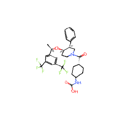 C[C@@H](O[C@@H]1CCN(C(=O)[C@H]2CC[C@H](NC(=O)O)CC2)C[C@@H]1c1ccccc1)c1cc(C(F)(F)F)cc(C(F)(F)F)c1